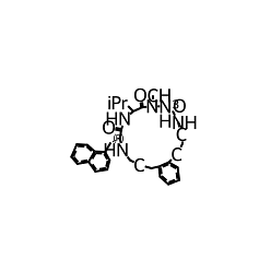 CC(C)C1NC(=O)[C@@H](Cc2cccc3ccccc23)NCCCc2ccccc2CCCNC(=O)NN(C)C1=O